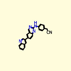 N#CCc1ccc(Nc2ncc3cc(-c4cnc5ccccc5c4)ccc3n2)cc1